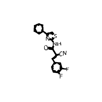 N#C/C(=C\c1ccc(F)c(F)c1)C(=O)Nc1nc(-c2ccccc2)cs1